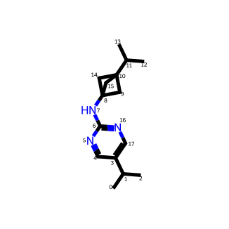 CC(C)c1cnc(NC23CC(C(C)C)(C2)C3)nc1